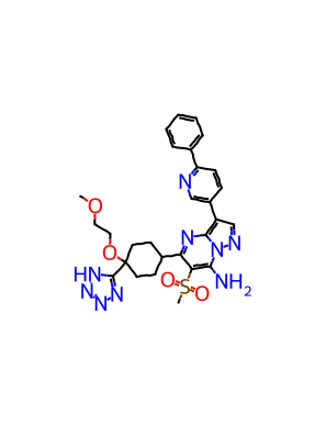 COCCOC1(c2nnn[nH]2)CCC(c2nc3c(-c4ccc(-c5ccccc5)nc4)cnn3c(N)c2S(C)(=O)=O)CC1